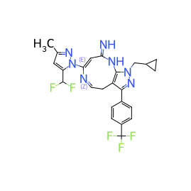 Cc1cc(C(F)F)n(C2=C/C(=N)Nc3c(c(-c4ccc(C(F)(F)F)cc4)nn3CC3CC3)C/C=N\2)n1